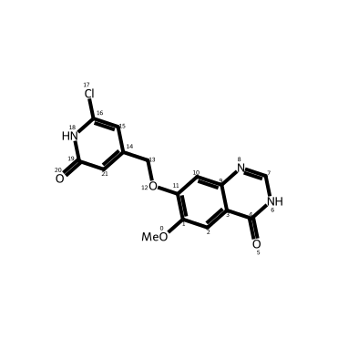 COc1cc2c(=O)[nH]cnc2cc1OCc1cc(Cl)[nH]c(=O)c1